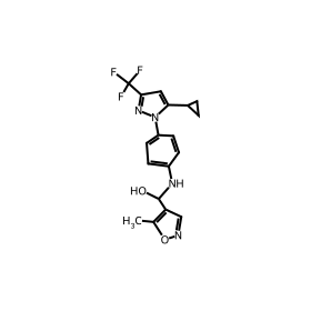 Cc1oncc1C(O)Nc1ccc(-n2nc(C(F)(F)F)cc2C2CC2)cc1